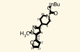 CCCCOC(=O)N1CCC(c2cc(-c3ccco3)n(C)n2)CC1